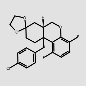 Fc1ccc(F)c2c1OC[C@H]1CC3(CC[C@@]21Cc1ccc(Cl)cc1)OCCO3